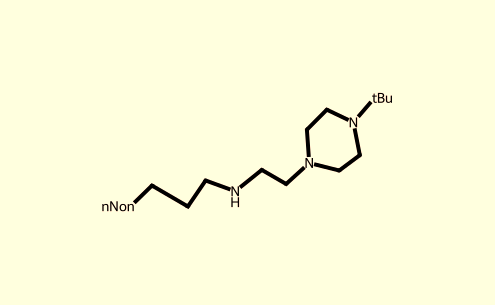 CCCCCCCCCCCCNCCN1CCN(C(C)(C)C)CC1